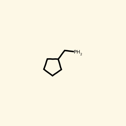 PCC1CCCC1